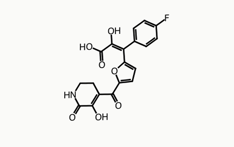 O=C(O)C(O)=C(c1ccc(F)cc1)c1ccc(C(=O)C2=C(O)C(=O)NCC2)o1